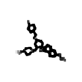 COc1ccc2cc(C3(O)CCC(OCc4ccc(F)cc4)CC3CN3CCN(C)CC3)ccc2c1